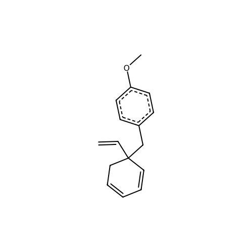 C=CC1(Cc2ccc(OC)cc2)C=CC=CC1